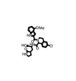 C#CC(CC1CCNC1=O)NC(=O)C1c2ccc(Cl)cc2CCN1C(=O)c1cc2c(OC)cccc2[nH]1